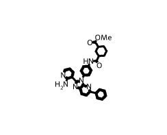 COC(=O)C1CCCC(C(=O)Nc2ccc(-n3c(-c4cccnc4N)nc4ccc(-c5ccccc5)nc43)cc2)C1